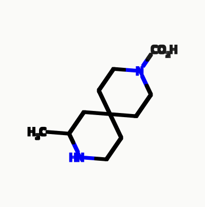 CC1CC2(CCN1)CCN(C(=O)O)CC2